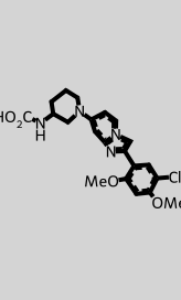 COc1cc(OC)c(-c2cn3ccc(N4CCCC(NC(=O)O)C4)cc3n2)cc1Cl